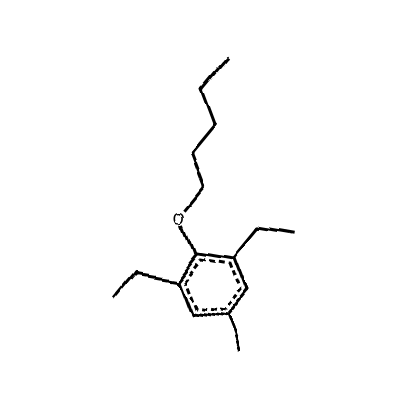 CCCCCOc1c(CC)cc(C)cc1CC